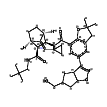 CC(C)(C)CNC(=O)[C@@H]1[C@H](NC(=O)c2cc(C3=NOC4CC(CO)CC34)cc3c2OC(C)(C)C3)[C@@H]2CC[C@H]1/C2=C/C1CC1